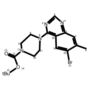 Cc1cc2ncnc(N3CCN(C(=O)OC(C)(C)C)CC3)c2cc1Br